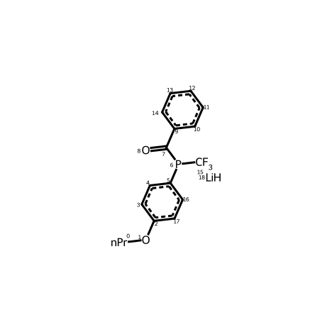 CCCOc1ccc(P(C(=O)c2ccccc2)C(F)(F)F)cc1.[LiH]